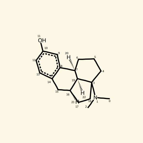 CN(C)C12CCC[C@@H]3c4cc(O)ccc4C[C@H](CC1)[C@@H]32